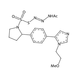 COCCn1cncc1-c1ccc(C2CCCN2S(=O)(=O)SN=NNC(C)=O)cc1